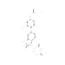 Cn1c(=O)n(C2CCC(=O)NC2=O)c2ccc(-c3ccc(CC(=O)OC(C)(C)C)cc3F)cc21